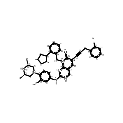 C[C@@H]1CN(c2ccc(Nc3ncc4cc(C#CCc5ccccc5F)c(=O)n(Cc5ccccc5C5CCCC5)c4n3)cc2F)C[C@H](C)N1